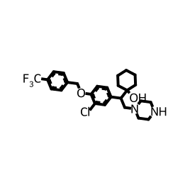 OC1(C(CN2CCNCC2)c2ccc(OCc3ccc(C(F)(F)F)cc3)c(Cl)c2)CCCCC1